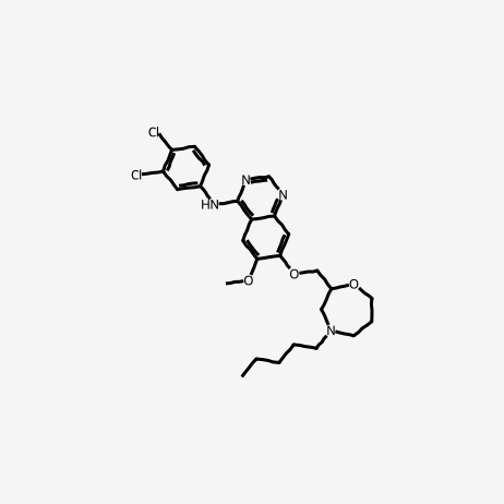 CCCCCN1CCCOC(COc2cc3ncnc(Nc4ccc(Cl)c(Cl)c4)c3cc2OC)C1